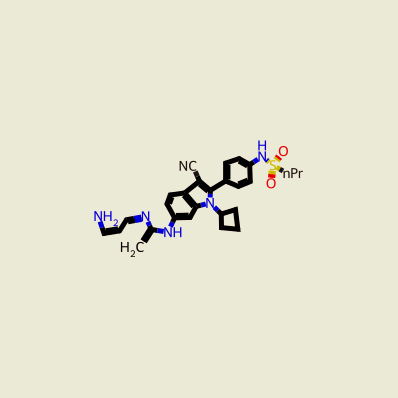 C=C(/N=C\C=C/N)Nc1ccc2c(C#N)c(-c3ccc(NS(=O)(=O)CCC)cc3)n(C3CCC3)c2c1